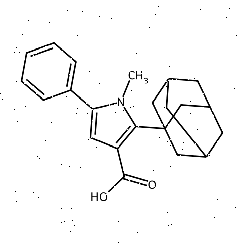 Cn1c(-c2ccccc2)cc(C(=O)O)c1C12CC3CC(CC(C3)C1)C2